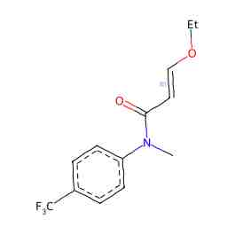 CCO/C=C/C(=O)N(C)c1ccc(C(F)(F)F)cc1